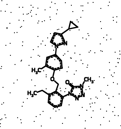 CCc1cccc(-n2nnn(C)c2=O)c1COc1ccc(-n2ccc(C3CC3)n2)cc1C